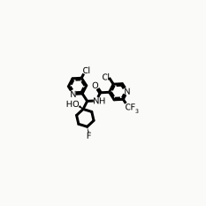 O=C(NC(c1cc(Cl)ccn1)[C@]1(O)CC[C@H](F)CC1)c1cc(C(F)(F)F)ncc1Cl